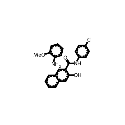 COc1ccccc1N.O=C(Nc1ccc(Cl)cc1)c1cc2ccccc2cc1O